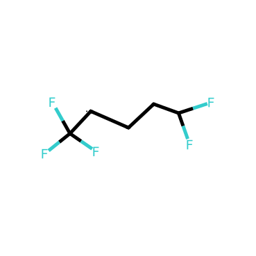 FC(F)CC[CH]C(F)(F)F